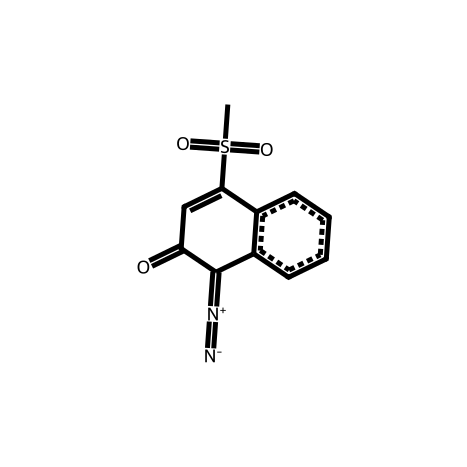 CS(=O)(=O)C1=CC(=O)C(=[N+]=[N-])c2ccccc21